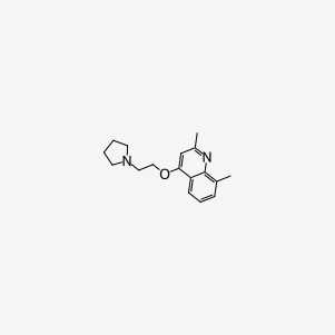 Cc1cc(OCCN2CCCC2)c2cccc(C)c2n1